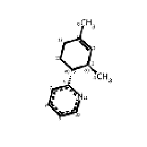 CC1=C[C@@H](C)[C@H](c2ccccn2)CC1